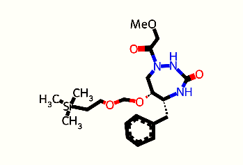 COCC(=O)N1C[C@@H](OCOCC[Si](C)(C)C)[C@@H](Cc2ccccc2)NC(=O)N1